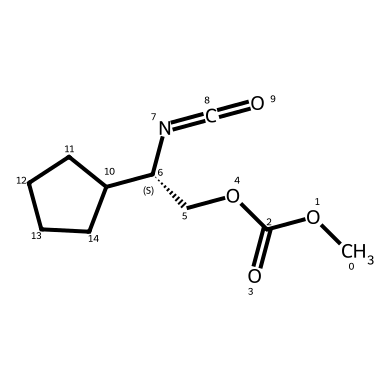 COC(=O)OC[C@@H](N=C=O)C1CCCC1